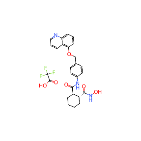 O=C(NO)[C@@H]1CCCC[C@H]1C(=O)Nc1ccc(COc2cccc3ncccc23)cc1.O=C(O)C(F)(F)F